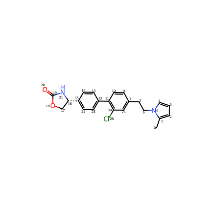 Cc1cccn1CCc1ccc(-c2ccc([C@@H]3COC(=O)N3)cc2)c(Cl)c1